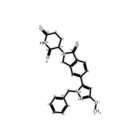 COc1cc(-c2ccc3c(c2)CN(C2CCC(=O)NC2=O)C3=O)n(Cc2ccccc2)n1